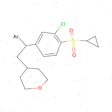 CC(=O)C(CC1CCOCC1)c1ccc(S(=O)(=O)C2CC2)c(Cl)c1